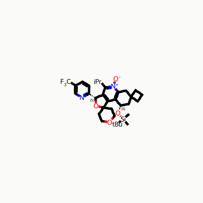 CC(C)c1c2c(c3c([n+]1[O-])CC1(CCC1)C[C@@H]3O[Si](C)(C)C(C)(C)C)C1(CCOCC1)O[C@@H]2c1ccc(C(F)(F)F)cn1